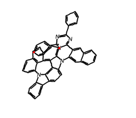 c1ccc(-c2nc(-c3ccccc3)nc(-c3cc4ccccc4cc3-n3c4ccc5ccc6cccc7c6c5c4c4c3ccc3c5ccccc5n7c34)n2)cc1